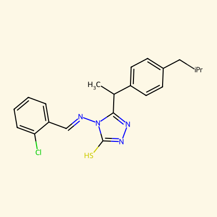 CC(C)Cc1ccc(C(C)c2nnc(S)n2N=Cc2ccccc2Cl)cc1